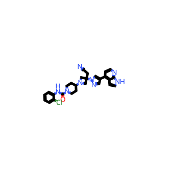 N#CCC1(n2cc(-c3ccnc4[nH]ccc34)cn2)CN(C2CCN(C(=O)Nc3ccccc3Cl)CC2)C1